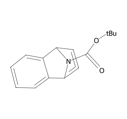 CC(C)(C)OC(=O)N1C2=C=CC1c1ccccc12